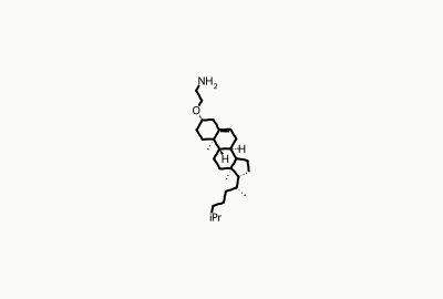 CC(C)CCC[C@@H](C)[C@H]1CCC2[C@@H]3CC=C4C[C@@H](OCCN)CC[C@]4(C)[C@H]3CC[C@@]21C